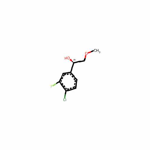 COC[C@H](O)c1ccc(Cl)c(F)c1